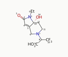 CCN1C(=O)C=C2CN(C(C(=O)O)C(F)(F)F)CC[C@@]21O